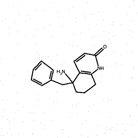 NC1(Cc2ccccc2)CCCc2[nH]c(=O)ccc21